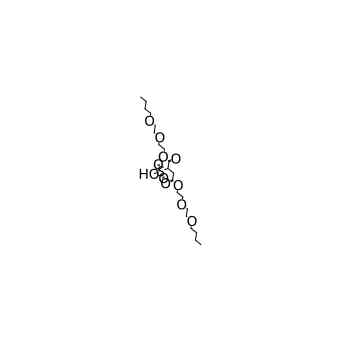 CCCCOCCOCCOC(=O)CC(C(=O)OCCOCCOCCCC)S(=O)(=O)O